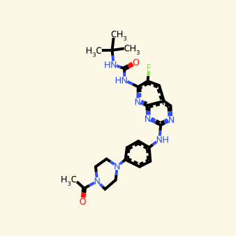 CC(=O)N1CCN(c2ccc(Nc3ncc4cc(F)c(NC(=O)NC(C)(C)C)nc4n3)cc2)CC1